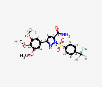 COc1cc(-c2cc(C(N)=O)n(S(=O)(=O)c3ccc(C(F)(F)F)cc3)n2)cc(OC)c1OC